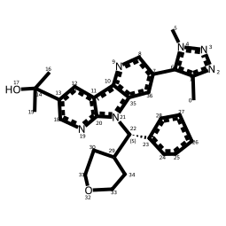 Cc1nnn(C)c1-c1cnc2c3cc(C(C)(C)O)cnc3n([C@H](c3ccccc3)C3CCOCC3)c2c1